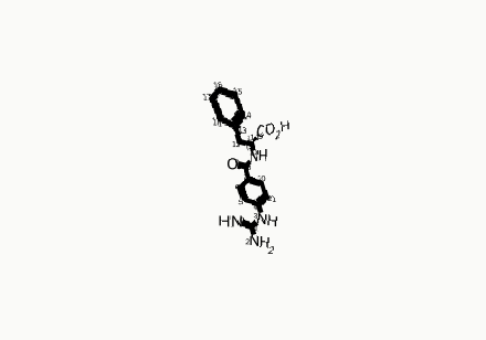 N=C(N)Nc1ccc(C(=O)N[C@@H](Cc2ccccc2)C(=O)O)cc1